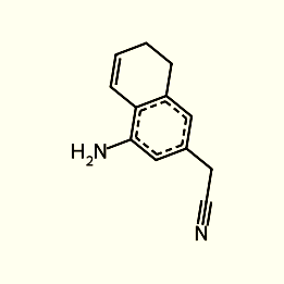 N#CCc1cc(N)c2c(c1)CCC=C2